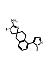 Cn1nccc1-c1cccc2c1CCC1(CNC(N)=N1)C2